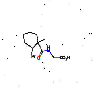 CC(C)C1CCCCC1(C)C(=O)NCC(=O)O